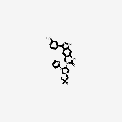 Cc1cc(-c2n[nH]c3cc4c(cc23)CN([C@@H]2CN(CC(F)(F)F)C[C@H]2c2cccs2)C(=O)N4)ccn1